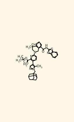 Cc1c(-c2ccc(N3Cc4c(C(=O)Nc5nc6ccccc6s5)cccc4C(C)(C)C3)nc2C(=O)OC(C)(C)C)cnn1CC12CC3CC(CC(C3)C1)C2